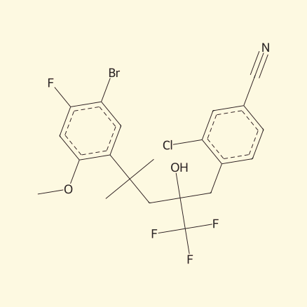 COc1cc(F)c(Br)cc1C(C)(C)CC(O)(Cc1ccc(C#N)cc1Cl)C(F)(F)F